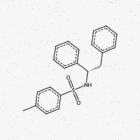 Cc1ccc(S(=O)(=O)N[C@@H](Cc2ccccc2)c2ccccc2)cc1